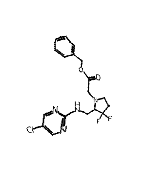 O=C(CN1CCC(F)(F)C1CNc1ncc(Cl)cn1)OCc1ccccc1